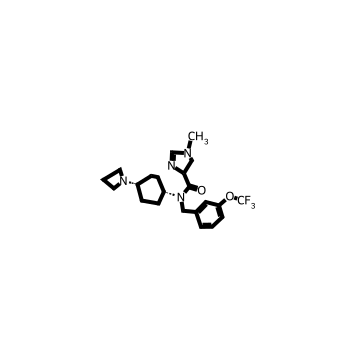 CN1C=NC(C(=O)N(Cc2cccc(OC(F)(F)F)c2)[C@H]2CC[C@@H](N3CCC3)CC2)C1